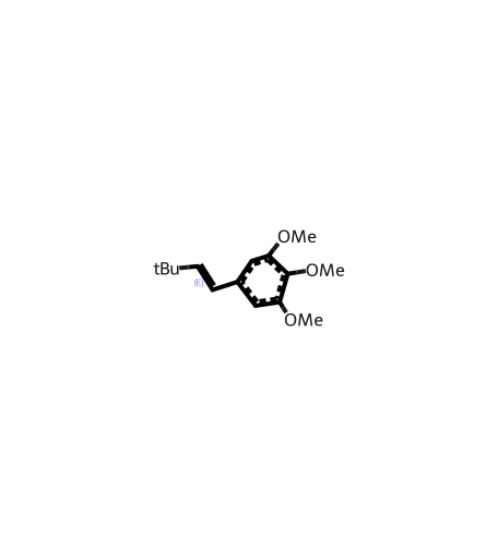 COc1cc(/C=C/C(C)(C)C)cc(OC)c1OC